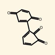 O=C1C=CC(=O)C(C2=CC=CC(=O)C2=O)=C1